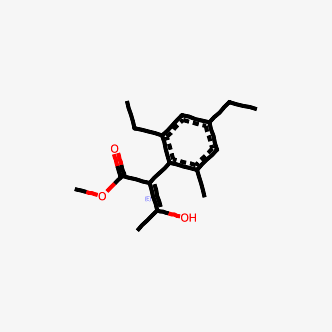 CCc1cc(C)c(/C(C(=O)OC)=C(/C)O)c(CC)c1